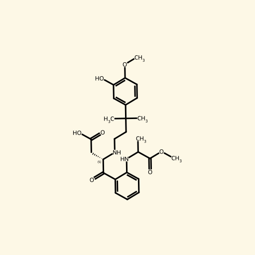 COC(=O)C(C)Nc1ccccc1C(=O)[C@H](CC(=O)O)NCCC(C)(C)c1ccc(OC)c(O)c1